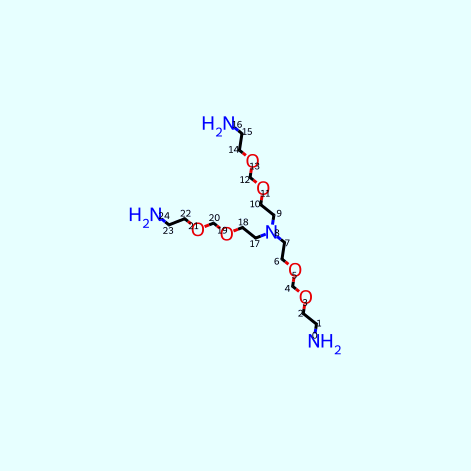 NCCOCOCCN(CCOCOCCN)CCOCOCCN